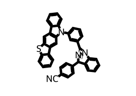 N#Cc1ccc(C2c3ccccc3N3C(c4cccc(-n5c6ccccc6c6cc7sc8ccccc8c7cc65)c4)[N@]23)cc1